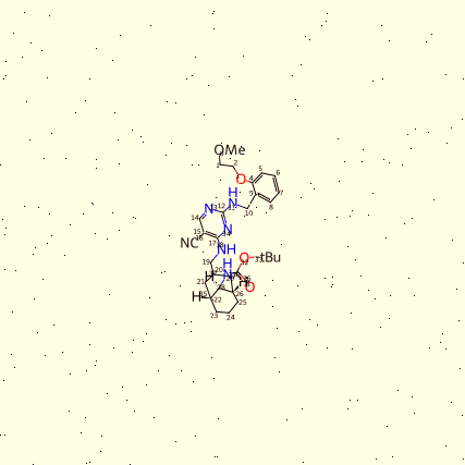 COCCOc1ccccc1CNc1ncc(C#N)c(NCC2C[C@H]3CCC[C@@H](C2)[C@@H]3NC(=O)OC(C)(C)C)n1